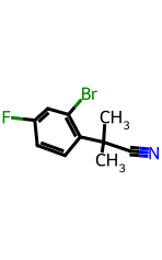 CC(C)(C#N)c1ccc(F)cc1Br